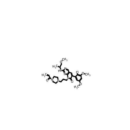 C=CC(=O)N1CCN(CCCn2c(=O)c(-c3cc(OC)cc(OC)c3Cl)cc3cnc(NC(C)COC)nc32)CC1